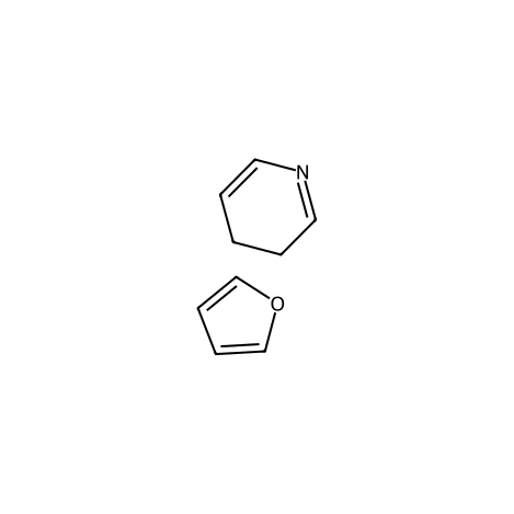 C1=CN=CCC1.c1ccoc1